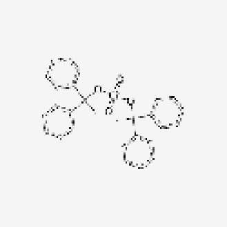 CC([O][Cr](=[O])(=[O])[O]C(C)(c1ccccc1)c1ccccc1)(c1ccccc1)c1ccccc1